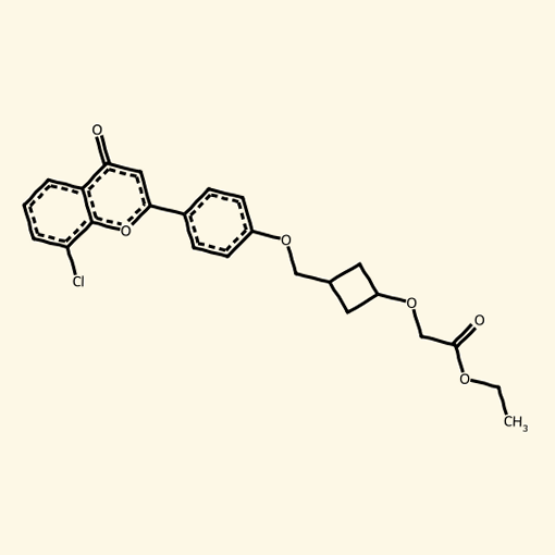 CCOC(=O)COC1CC(COc2ccc(-c3cc(=O)c4cccc(Cl)c4o3)cc2)C1